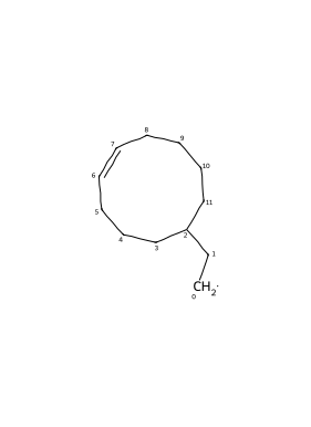 [CH2]CC1CCCC=CCCCC1